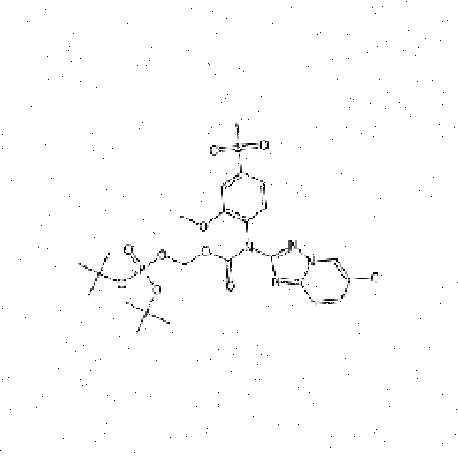 COc1cc(S(C)(=O)=O)ccc1N(C(=O)OCOP(=O)(OC(C)(C)C)OC(C)(C)C)c1nc2ccc(Cl)cn2n1